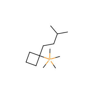 CC(C)CCC1(P(C)(C)(C)C)CCC1